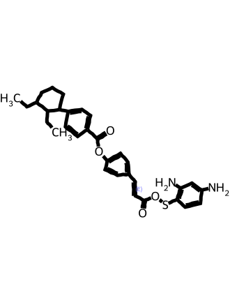 CCC1CCCC(c2ccc(C(=O)Oc3ccc(/C=C/C(=O)OSc4ccc(N)cc4N)cc3)cc2)C1CC